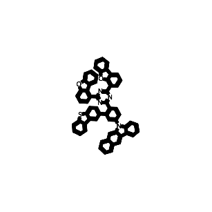 c1ccc2cc3c(cc2c1)c1ccccc1n3-c1ccc(-c2nc(-c3cccc4c3oc3ccccc34)nc(-c3cccc4oc5ccccc5c34)n2)c(-c2ccc3sc4ccccc4c3c2)c1